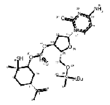 C=C(C)[C@@H]1CC[C@](C)(S)[C@@H](O[PH](=S)O[C@H]2C[C@H](n3ccc(N)nc3=O)O[C@@H]2CO[Si](C)(C)C(C)(C)C)C1